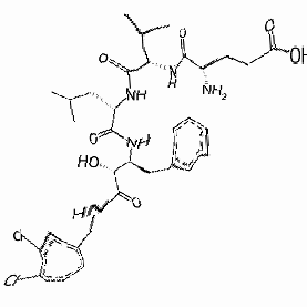 CC(C)C[C@H](NC(=O)[C@@H](NC(=O)[C@@H](N)CCC(=O)O)C(C)C)C(=O)N[C@@H](Cc1ccccc1)[C@@H](O)C(=O)NCc1ccc(Cl)c(Cl)c1